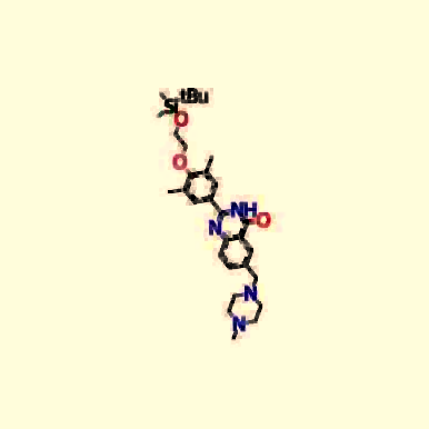 Cc1cc(-c2nc3ccc(CN4CCN(C)CC4)cc3c(=O)[nH]2)cc(C)c1OCCO[Si](C)(C)C(C)(C)C